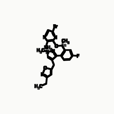 CCc1cc(Cc2cn(C)nc2-c2ccc(F)cc2[C@@H](C)Oc2nc(Br)cnc2N)on1